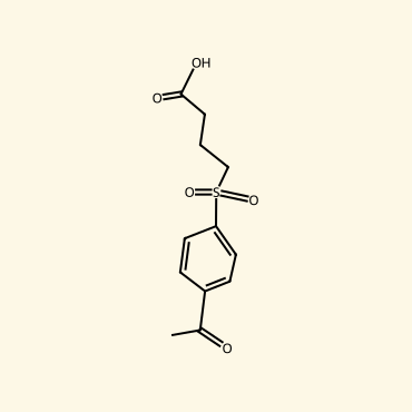 CC(=O)c1ccc(S(=O)(=O)CCCC(=O)O)cc1